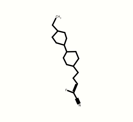 CCC1CCC(C2CCC(CCC=C(F)C#N)CC2)CC1